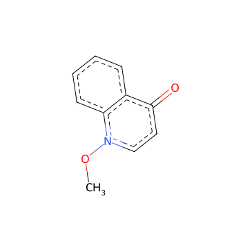 COn1ccc(=O)c2ccccc21